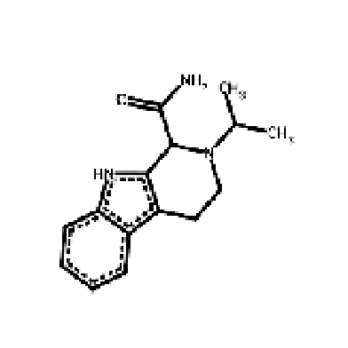 CC(C)N1CCc2c([nH]c3cc[c]cc23)C1C(N)=O